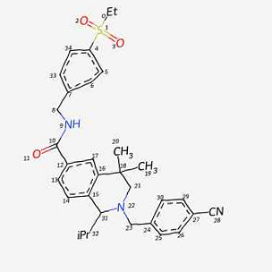 CCS(=O)(=O)c1ccc(CNC(=O)c2ccc3c(c2)C(C)(C)CN(Cc2ccc(C#N)cc2)C3C(C)C)cc1